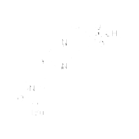 CC(C)(C)OC(=O)N1CCC(Oc2cncc(Nc3ccc(S(C)(=O)=O)cc3F)c2)CC1